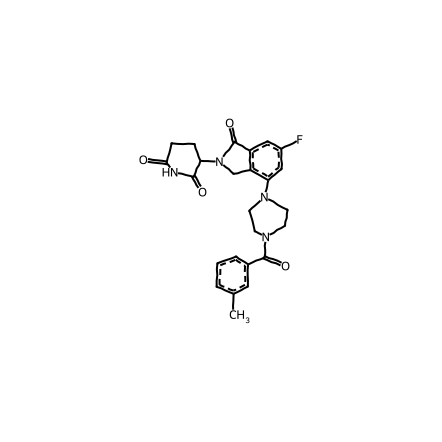 Cc1cccc(C(=O)N2CCN(c3cc(F)cc4c3CN(C3CCC(=O)NC3=O)C4=O)CC2)c1